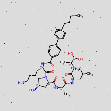 CCCCc1ccc(-c2ccc(C(=O)N[C@@H](CCCCN)C(=O)N3C[C@H](N)C[C@H]3C(=O)N[C@@H](C)C(=O)N[C@@H](CC(C)C)C(=O)N[C@@H](C)B(O)O)cc2)cc1